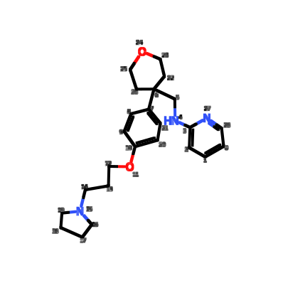 c1ccc(NCC2(c3ccc(OCCCN4CCCC4)cc3)CCOCC2)nc1